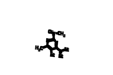 CCc1c(C)nc([S+](C)[O-])nc1N(CC)CC